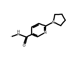 [CH2]NC(=O)c1ccc(N2CCCC2)nc1